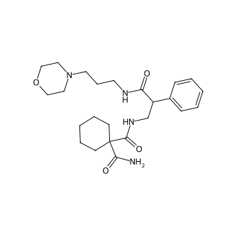 NC(=O)C1(C(=O)NCC(C(=O)NCCCN2CCOCC2)c2ccccc2)CCCCC1